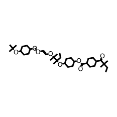 CCC(C)(C)C(=O)C1CCC(C(=O)OC2CCC(OC(C)(CC)C(C)(C)OC=COOC3CCC(OC(C)(C)C)CC3)CC2)CC1